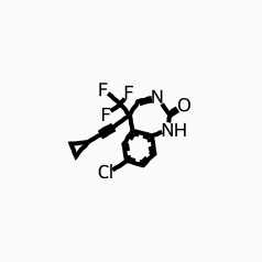 O=C1N=CC(C#CC2CC2)(C(F)(F)F)c2cc(Cl)ccc2N1